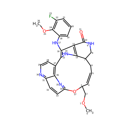 COCC1/C=C\CC2CNC(=O)c3c2[nH]c(c3Nc2cccc(F)c2OC)-c2ccnc3ccc(nc23)O1